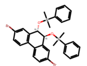 C[Si](C)(O[C@H]1c2cc(Br)ccc2-c2ccc(Br)cc2[C@@H]1O[Si](C)(C)c1ccccc1)c1ccccc1